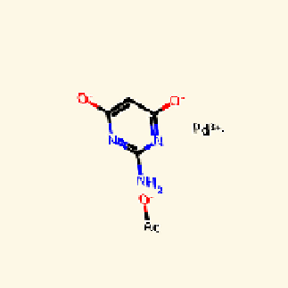 CC(=O)[O-].Nc1nc([O-])cc([O-])n1.[Pd+3]